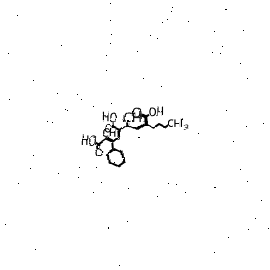 CCCCC(=CC(C)C(=CC(=C(C)C(=O)O)C1CCCCC1)C(=O)O)C(=O)O